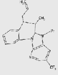 C=CCC1c2ccccc2N2c3ncc(C(F)(F)F)cc3N(C(C)C)C2C1C